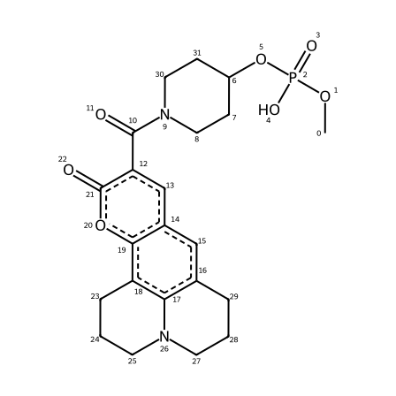 COP(=O)(O)OC1CCN(C(=O)c2cc3cc4c5c(c3oc2=O)CCCN5CCC4)CC1